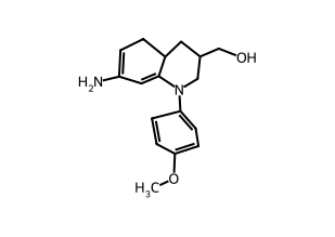 COc1ccc(N2CC(CO)CC3CC=C(N)C=C32)cc1